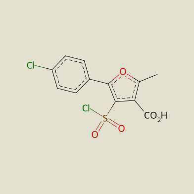 Cc1oc(-c2ccc(Cl)cc2)c(S(=O)(=O)Cl)c1C(=O)O